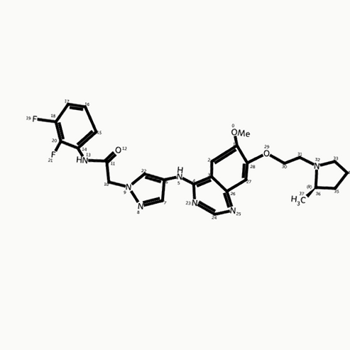 COc1cc2c(Nc3cnn(CC(=O)Nc4cccc(F)c4F)c3)ncnc2cc1OCCN1CCC[C@H]1C